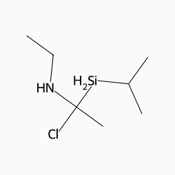 CCNC(C)(Cl)[SiH2]C(C)C